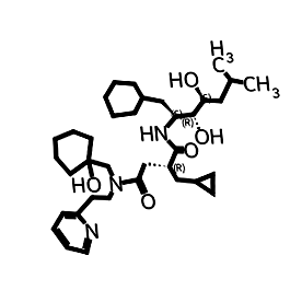 CC(C)C[C@H](O)[C@H](O)[C@H](CC1CCCCC1)NC(=O)[C@@H](CC(=O)N(CCc1ccccn1)CC1(O)CCCCC1)CC1CC1